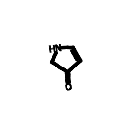 O=C1C=CNC1